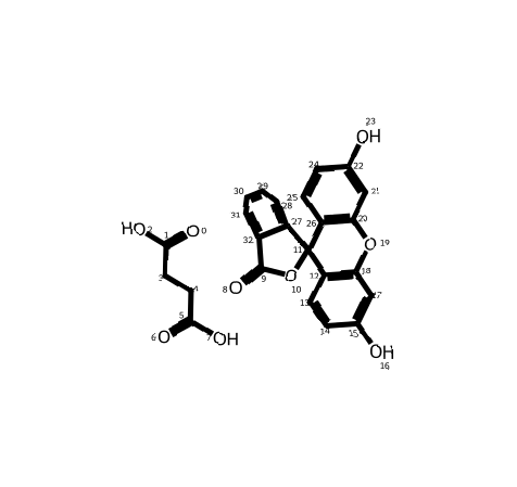 O=C(O)CCC(=O)O.O=C1OC2(c3ccc(O)cc3Oc3cc(O)ccc32)c2ccccc21